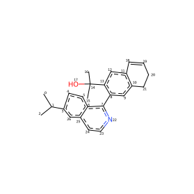 CC(C)c1ccc2c(-c3cc4c(cc3C(C)(C)O)C=CCC4)nccc2c1